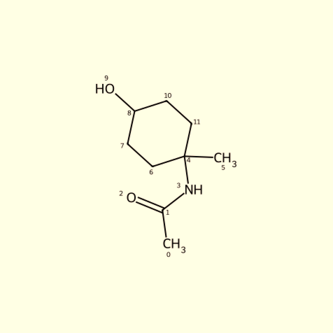 CC(=O)NC1(C)CCC(O)CC1